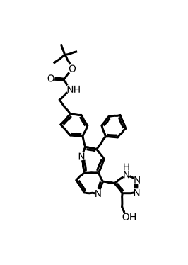 CC(C)(C)OC(=O)NCc1ccc(-c2nc3ccnc(-c4[nH]nnc4CO)c3cc2-c2ccccc2)cc1